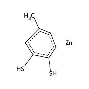 Cc1ccc(S)c(S)c1.[Zn]